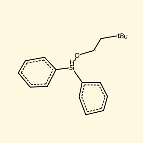 CC(C)(C)C[CH]O[SiH](c1ccccc1)c1ccccc1